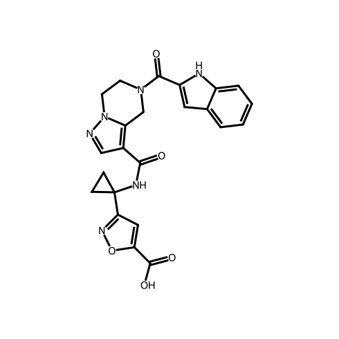 O=C(O)c1cc(C2(NC(=O)c3cnn4c3CN(C(=O)c3cc5ccccc5[nH]3)CC4)CC2)no1